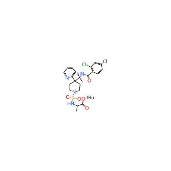 CC(NS(=O)(=O)N1CCC(c2ccccn2)(C(C)(C)NC(=O)c2ccc(Cl)cc2Cl)CC1)C(=O)OC(C)(C)C